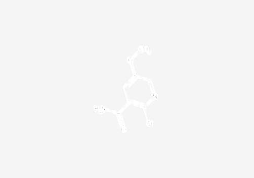 COc1cnc(Cl)c(C(N)=O)c1